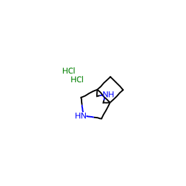 C1CC23CNCC12CNC3.Cl.Cl